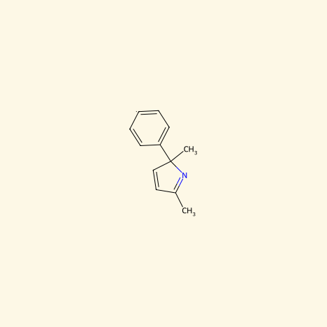 CC1=NC(C)(c2cc[c]cc2)C=C1